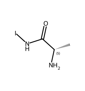 C[C@H](N)C(=O)NI